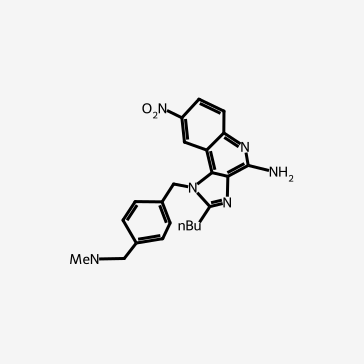 CCCCc1nc2c(N)nc3ccc([N+](=O)[O-])cc3c2n1Cc1ccc(CNC)cc1